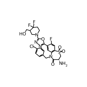 N[C@H]1CS(=O)(=O)c2cc(F)c(-c3nnc(N4CCC(F)(F)C(CO)C4)o3)cc2N(Cc2ccc(Cl)cc2)C1=O